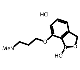 CNCCCOc1cccc2c1B(O)OC2.Cl